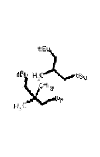 CC(C)CC(C)(C)CC(C)(C)C.CC(CC(C)(C)C)CC(C)(C)C